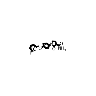 NC(=O)C1CCN(c2ccc(OCc3cccc(F)c3)cc2)C1=O